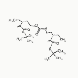 CCC(CCOC(=O)OCCC(CC)NC(=O)OC(C)(C)C)NC(=O)OC(C)(C)C